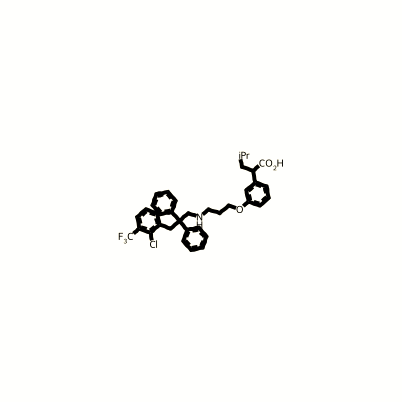 CC(C)CC(C(=O)O)c1cccc(OCCCNCC(Cc2cccc(C(F)(F)F)c2Cl)(c2ccccc2)c2ccccc2)c1